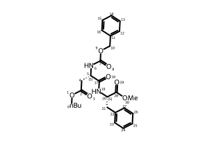 CCCCOC(=O)C[C@H](NC(=O)OCc1ccccc1)C(=O)N[C@@H](Cc1ccccc1)C(=O)OC